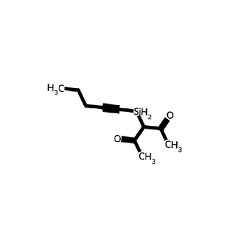 CCCC#C[SiH2]C(C(C)=O)C(C)=O